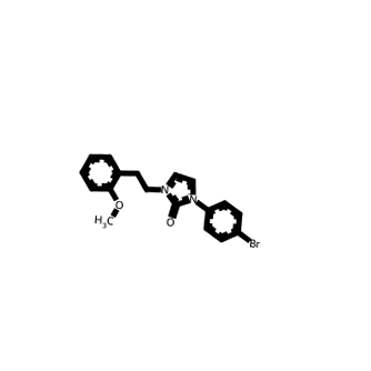 COc1ccccc1CCn1ccn(-c2ccc(Br)cc2)c1=O